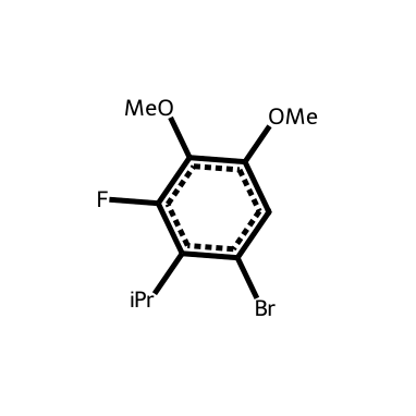 COc1cc(Br)c(C(C)C)c(F)c1OC